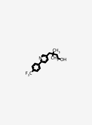 CC(C)(CCO)Cc1ccc(-c2ccc(C(F)(F)F)cc2)nc1